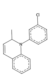 CC1C=Cc2ccccc2N1c1cccc(Cl)c1